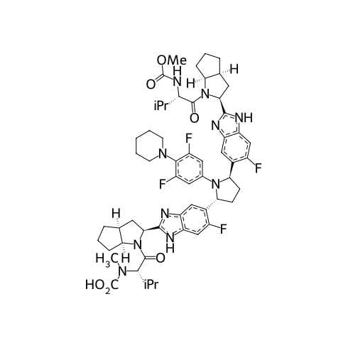 COC(=O)N[C@H](C(=O)N1[C@H](c2nc3cc([C@H]4CC[C@H](c5cc6nc([C@@H]7C[C@@H]8CCC[C@@H]8N7C(=O)[C@H](C(C)C)N(C)C(=O)O)[nH]c6cc5F)N4c4cc(F)c(N5CCCCC5)c(F)c4)c(F)cc3[nH]2)C[C@@H]2CCC[C@@H]21)C(C)C